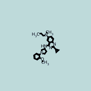 CCCN(C)c1ccc2nc(C3CC3)nc(NC3CCN(c4ccccc4OC)C3)c2c1